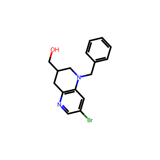 OCC1Cc2ncc(Br)cc2N(Cc2ccccc2)C1